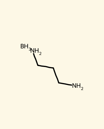 B.NCCCN